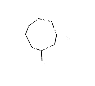 O=C(O)C1CCCCCCC1.[Zn]